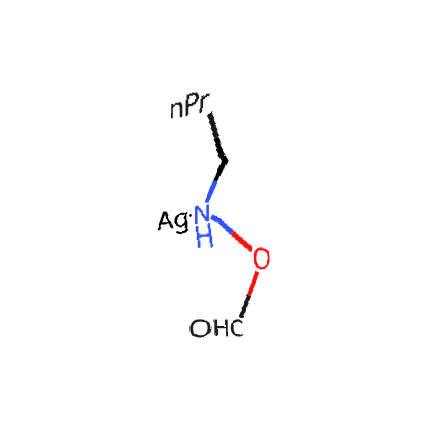 CCCCNOC=O.[Ag]